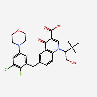 CC(C)(C)C(CO)n1cc(C(=O)O)c(=O)c2cc(Cc3cc(N4CCOCC4)cc(Cl)c3F)ccc21